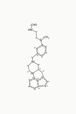 CN(CCNC=O)c1cccc(CN2CCN3c4cccc5scc(c45)CC3C2)c1